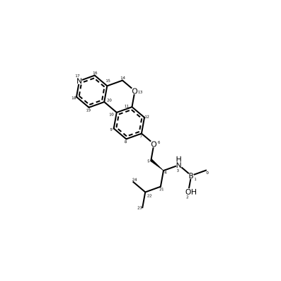 CB(O)N[C@H](COc1ccc2c(c1)OCc1cnccc1-2)CC(C)C